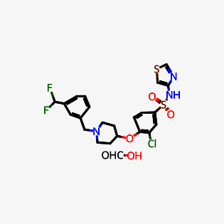 O=CO.O=S(=O)(Nc1cscn1)c1ccc(OC2CCN(Cc3cccc(C(F)F)c3)CC2)c(Cl)c1